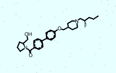 CCC[C@@H](F)CN1CCC(COc2ccc(-c3ccc(C(=O)N4CCCC4CO)cc3)cc2)CC1